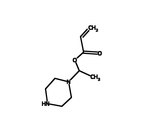 C=CC(=O)OC(C)N1CCNCC1